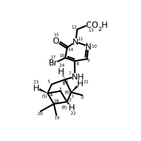 C[C@@H]1[C@H]2C[C@@H](C[C@H]1Nc1cnn(CC(=O)O)c(=O)c1Br)C2(C)C